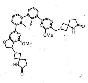 COc1nc(-c2cccc(-c3cccc(-c4cc5c(c(OC)n4)C(N4CC6(CCC(=O)N6)C4)CO5)c3C)c2F)cnc1CN1CC2(CCC(=O)N2)C1